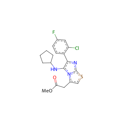 COC(=O)Cc1csc2nc(-c3ccc(F)cc3Cl)c(NC3CCCC3)n12